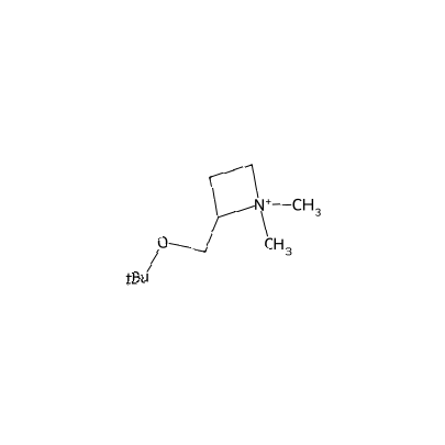 CC(C)(C)OCC1CC[N+]1(C)C